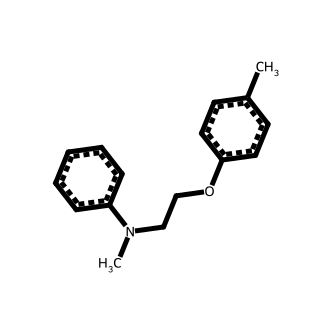 Cc1ccc(OCCN(C)c2ccccc2)cc1